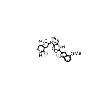 COc1cccc2[nH]c(C(=O)NC(CC(C)C)C(=O)NC(C)CC3CCCNC3=O)cc12